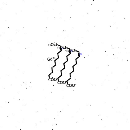 CCCCCCCC/C=C\CCCCCCCC(=O)[O-].CCCCCCCC/C=C\CCCCCCCC(=O)[O-].CCCCCCCC/C=C\CCCCCCCC(=O)[O-].[Gd+3]